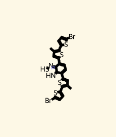 Cc1cc(C2=CC=C(c3cc(C)c(-c4ccc(Br)s4)s3)/C(=N/S)C2=N)sc1-c1ccc(Br)s1